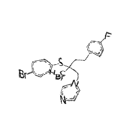 CC(CCc1ccc(F)cc1)(Cn1ccnc1)Sc1ccc(Br)cc1Br